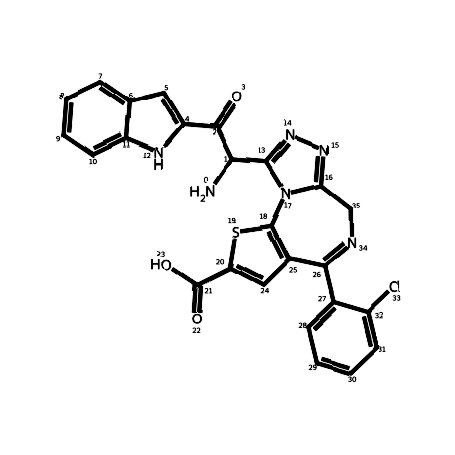 NC(C(=O)c1cc2ccccc2[nH]1)c1nnc2n1-c1sc(C(=O)O)cc1C(c1ccccc1Cl)=NC2